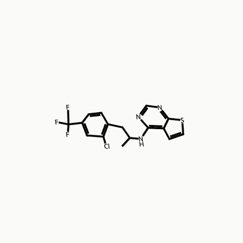 CC(Cc1ccc(C(F)(F)F)cc1Cl)Nc1ncnc2sccc12